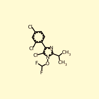 CC(C)c1nc(-c2ccc(Cl)cc2Cl)c(Cl)n1OC(F)F